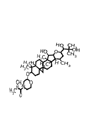 C[C@@H]1CC(C(O)C(C)(C)O)OC2[C@H]1C1(C)CCC34CC35CCC(O[C@H]3CN(C(=O)N(C)C)CCO3)C(C)(C)[C@@H]5CCC4[C@]1(C)[C@H]2O